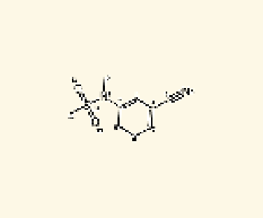 CN(C1=CC(C#N)=CCC1)S(C)(=O)=O